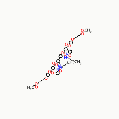 C=CC(=O)OCCCCCCOc1ccc(OC(=O)C2CCC(C(=O)Oc3ccc(-c4ccc(OC(=O)C5CCC(C(=O)Oc6ccc(OCCCCCCOC(=O)C=C)cc6)CC5)c(/C=N/N(CCCCCC)c5nc6ccccc6o5)c4)cc3/C=N/N(CCCCCC)c3nc4ccccc4o3)CC2)cc1